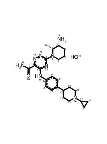 C[C@@H]1[C@H](N)CCCN1c1nnc(C(N)=O)c(Nc2ccc(C3CCN(C4CC4)CC3)cc2)n1.Cl